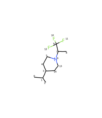 CC(C)C1CCN(C(C)C(F)(F)F)CC1